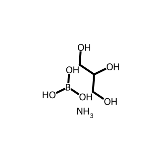 N.OB(O)O.OCC(O)CO